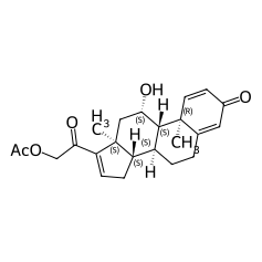 CC(=O)OCC(=O)C1=CC[C@H]2[C@@H]3CCC4=CC(=O)C=C[C@]4(C)[C@H]3[C@@H](O)C[C@]12C